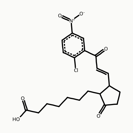 O=C(O)CCCCCCC1C(=O)CCC1C=CC(=O)c1cc([N+](=O)[O-])ccc1Cl